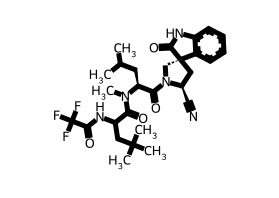 CC(C)C[C@@H](C(=O)N1C[C@]2(C[C@H]1C#N)C(=O)Nc1ccccc12)N(C)C(=O)C(CC(C)(C)C)NC(=O)C(F)(F)F